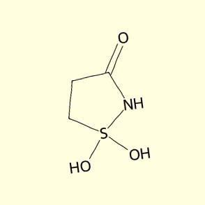 O=C1CCS(O)(O)N1